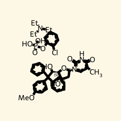 CCN(CC)CC.COc1ccc(C(c2ccccc2)(c2ccccc2)C(O)[C@H]2O[C@@H](n3cc(C)c(=O)[nH]c3=O)C[C@@H]2O)cc1.O=P(O)(O)Oc1ccccc1Cl